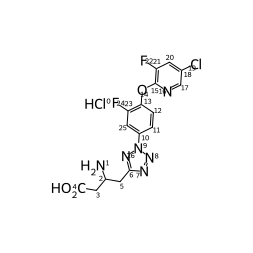 Cl.NC(CC(=O)O)Cc1nnn(-c2ccc(Oc3ncc(Cl)cc3F)c(F)c2)n1